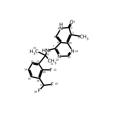 Cc1c(=O)[nH]cc2c(NC(C)(C)c3cccc(C(F)F)c3F)ncnc12